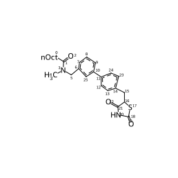 CCCCCCCCC(=O)N(C)Cc1cccc(-c2ccc(CC3SC(=O)NC3=O)cc2)c1